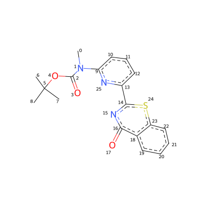 CN(C(=O)OC(C)(C)C)c1cccc(-c2nc(=O)c3ccccc3s2)n1